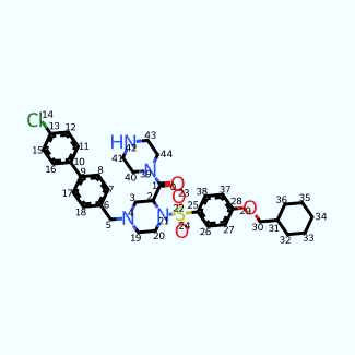 O=C(C1CN(Cc2ccc(-c3ccc(Cl)cc3)cc2)CCN1S(=O)(=O)c1ccc(OCC2CCCCC2)cc1)N1CCNCC1